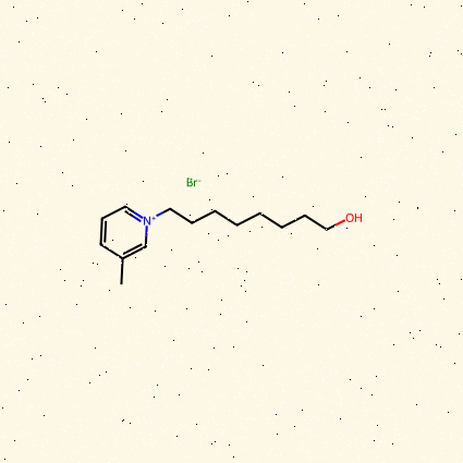 Cc1ccc[n+](CCCCCCCCO)c1.[Br-]